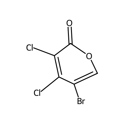 O=c1occ(Br)c(Cl)c1Cl